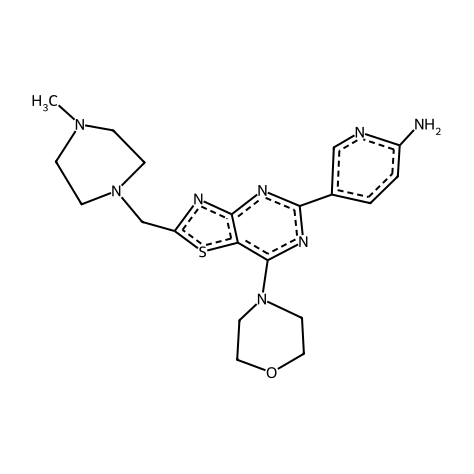 CN1CCN(Cc2nc3nc(-c4ccc(N)nc4)nc(N4CCOCC4)c3s2)CC1